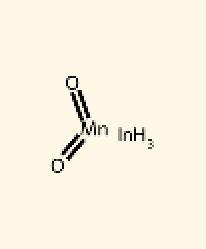 [InH3].[O]=[Mn]=[O]